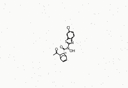 CC(=O)C1C2C=CC(C2)[C@H]1C(=O)N(O)c1nc2ccc(Cl)cc2s1